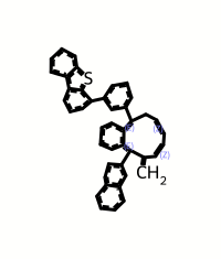 C=C1/C=C\C=C/C/C(c2cccc(-c3cccc4c3sc3ccccc34)c2)=c2/cccc/c2=C/1c1ccc2ccccc2c1